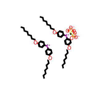 CCCCCCCCOc1ccc([I+]c2ccc(OCCCCCCCC)cc2)cc1.CCCCCCCCOc1ccc([I+]c2ccc(OCCCCCCCC)cc2)cc1.O=S(=O)([O-])CS(=O)(=O)[O-]